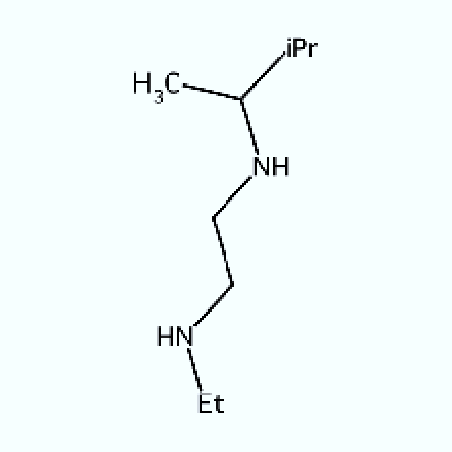 CCNCCNC(C)C(C)C